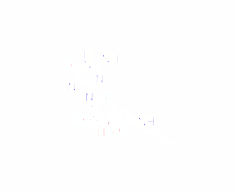 CCCCNC(=O)C[C@H]1O[C@@H](n2cnc3c(=O)[nH]c(N)nc32)[C@H](O)[C@@H]1O